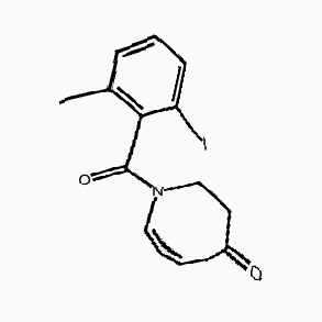 Cc1cccc(I)c1C(=O)N1C=CC(=O)CC1